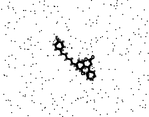 O=C1CC(c2ccncc2)c2c(O)cc(CCCCCc3ccc(F)cc3)cc2O1